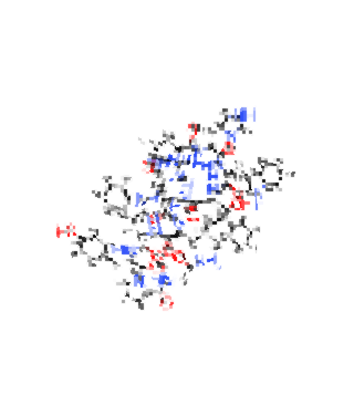 NC(=O)CNC(=O)[C@@H]1CCCN1C(=O)[C@H](Cc1ccc(O)cc1)NC(=O)[C@H](Cc1c[nH]c2ccccc12)NC(=O)[C@@H](Cc1ccc2ccccc2c1)NC(=O)[C@H](Cc1c[nH]cn1)NC(=O)[C@H](CO)NC(=O)[C@H](Cc1c[nH]c2ccccc12)NC(=O)[C@H](Cc1c[nH]cn1)NC(=O)[C@@H]1CCC(=O)N1